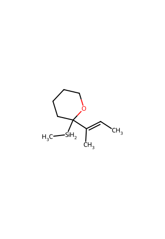 CC=C(C)C1([SiH2]C)CCCCO1